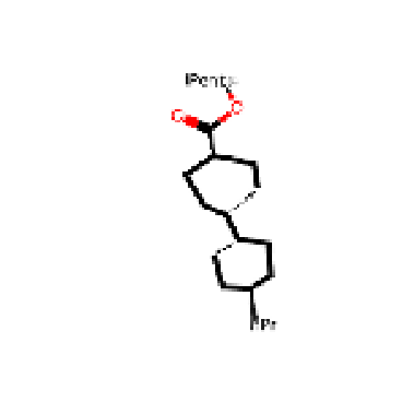 CCC[C@H](C)OC(=O)[C@H]1CC[C@H]([C@H]2CC[C@H](CCC)CC2)CC1